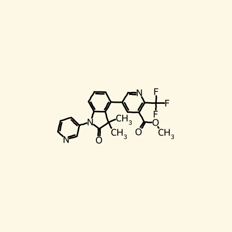 COC(=O)c1cc(-c2cccc3c2C(C)(C)C(=O)N3c2cccnc2)cnc1C(F)(F)F